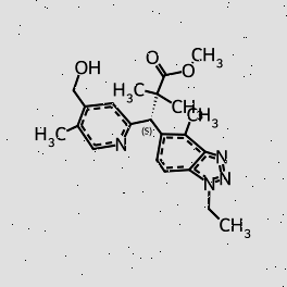 CCn1nnc2c(C)c([C@H](c3cc(CO)c(C)cn3)C(C)(C)C(=O)OC)ccc21